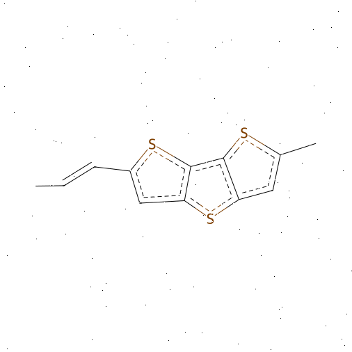 C/C=C/c1cc2sc3cc(C)sc3c2s1